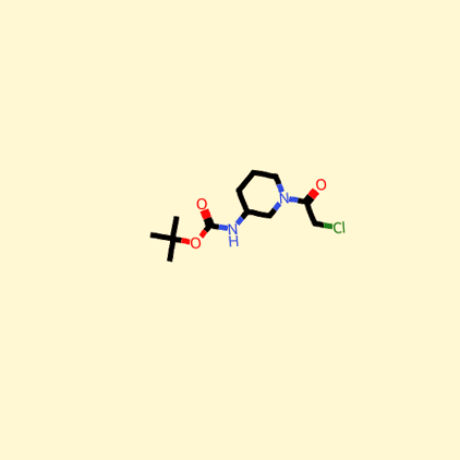 CC(C)(C)OC(=O)NC1CCCN(C(=O)CCl)C1